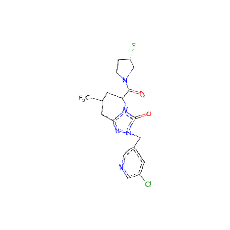 O=C(C1CC(C(F)(F)F)Cc2nn(Cc3cncc(Cl)c3)c(=O)n21)N1CC[C@H](F)C1